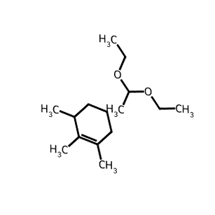 CC1=C(C)C(C)CCC1.CCOC(C)OCC